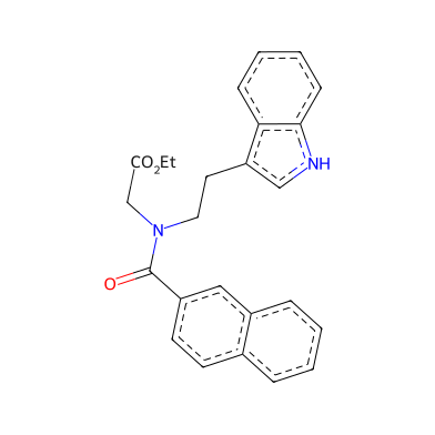 CCOC(=O)CN(CCc1c[nH]c2ccccc12)C(=O)c1ccc2ccccc2c1